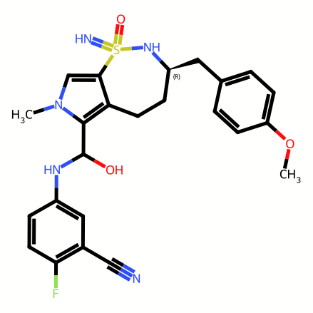 COc1ccc(C[C@H]2CCc3c(cn(C)c3C(O)Nc3ccc(F)c(C#N)c3)S(=N)(=O)N2)cc1